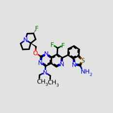 CCN(CC)c1nc(OC[C@@]23CCCN2C[C@H](F)C3)nc2c(C(F)F)c(-c3cccc4sc(N)nc34)ncc12